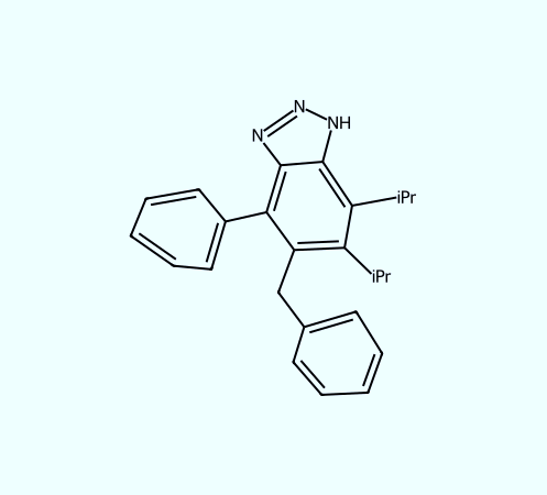 CC(C)c1c(Cc2ccccc2)c(-c2ccccc2)c2nn[nH]c2c1C(C)C